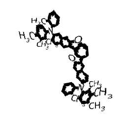 Cc1ccccc1N(c1ccc2cc3c(cc2c1)oc1c3ccc2oc3cc4cc(N(c5ccccc5C)c5ccc(C)c(C)c5C)ccc4cc3c21)c1ccc(C)c(C)c1C